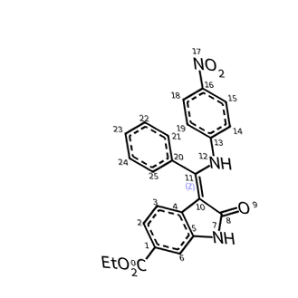 CCOC(=O)c1ccc2c(c1)NC(=O)/C2=C(\Nc1ccc([N+](=O)[O-])cc1)c1ccccc1